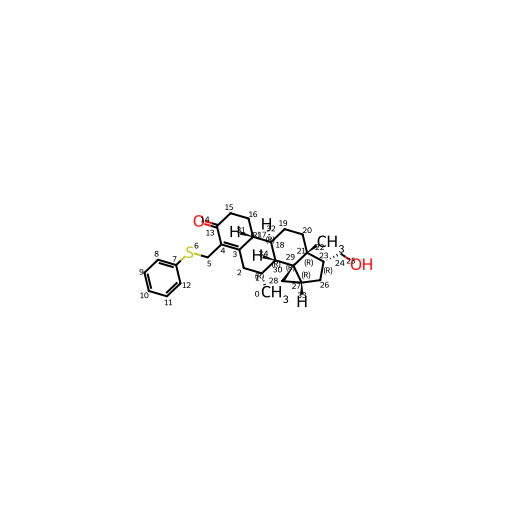 C[C@@H]1CC2=C(CSc3ccccc3)C(=O)CC[C@@H]2[C@H]2CC[C@]3(C)[C@H](CO)C[C@@H]4C[C@]43[C@@H]21